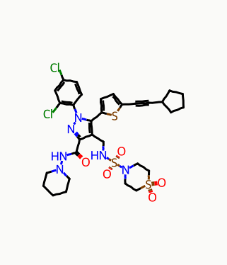 O=C(NN1CCCCC1)c1nn(-c2ccc(Cl)cc2Cl)c(-c2ccc(C#CC3CCCC3)s2)c1CNS(=O)(=O)N1CCS(=O)(=O)CC1